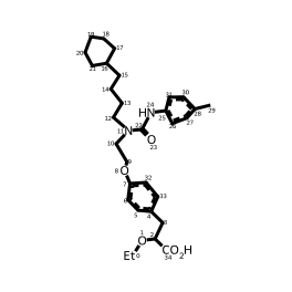 CCOC(Cc1ccc(OCCN(CCCCC2CCCCC2)C(=O)Nc2ccc(C)cc2)cc1)C(=O)O